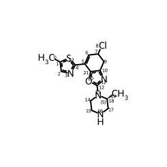 Cc1cnc(C2=CC(Cl)Cc3nc(N4CCNC[C@@H]4C)oc32)s1